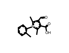 Cc1ccccc1-n1c(C)c(C=O)c(C(=O)O)c1C